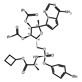 CC(C)C(=O)O[C@H]1[C@@H](OC(=O)C(C)C)[C@](C)(c2ccc3c(N)ncnn23)O[C@@H]1CO[P@@](=O)(N[C@@H](C)C(=O)OC1CCC1)Oc1ccc(C(C)(C)C)cc1